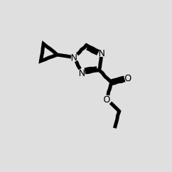 CCOC(=O)c1ncn(C2CC2)n1